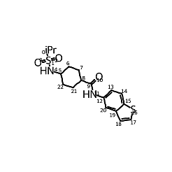 CC(C)S(=O)(=O)NC1CCC(C(=O)Nc2ccc3sccc3c2)CC1